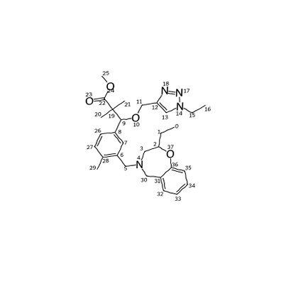 CCC1CN(Cc2cc(C(OCc3cn(CC)nn3)C(C)(C)C(=O)OC)ccc2C)Cc2ccccc2O1